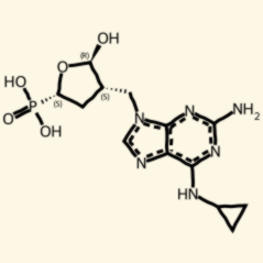 Nc1nc(NC2CC2)c2ncn(C[C@@H]3C[C@H](P(=O)(O)O)O[C@H]3O)c2n1